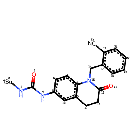 CC(C)(C)NC(=O)Nc1ccc2c(c1)CCC(=O)N2Cc1ccccc1C#N